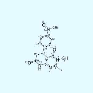 Cc1nc2c(c(=O)n1S)C(c1ccc([N+](=O)[O-])cc1)CC(=O)N2